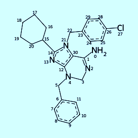 NC1=NCN(Cc2ccccc2)c2nc(C3CCCCC3)n(Cc3ccc(Cl)cc3)c21